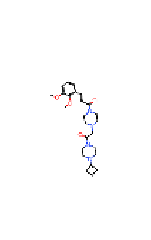 COc1cccc(C=CC(=O)N2CCN(CC(=O)N3CCN(C4CCC4)CC3)CC2)c1OC